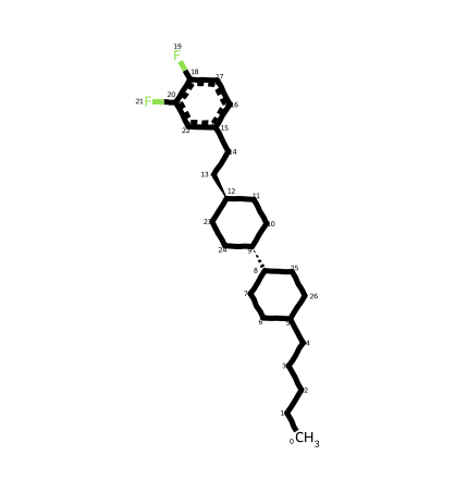 CCCCCC1CCC([C@H]2CC[C@H](CCc3ccc(F)c(F)c3)CC2)CC1